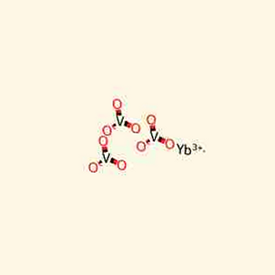 [O]=[V](=[O])[O-].[O]=[V](=[O])[O-].[O]=[V](=[O])[O-].[Yb+3]